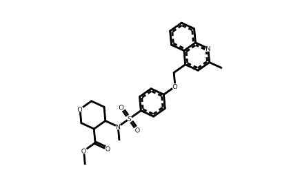 COC(=O)C1COCCC1N(C)S(=O)(=O)c1ccc(OCc2cc(C)nc3ccccc23)cc1